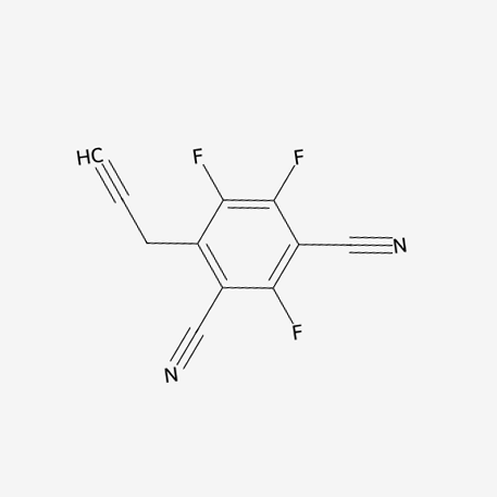 C#CCc1c(F)c(F)c(C#N)c(F)c1C#N